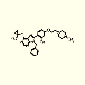 CN1CCN(CCOc2ccc(-c3nc4c(OC5(C)CC5)ncnc4n3Cc3ccccc3)c(C#N)c2)CC1